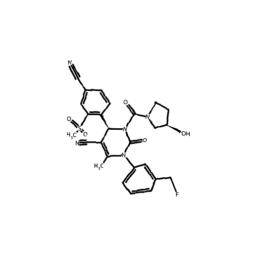 CC1=C(C#N)[C@@H](c2ccc(C#N)cc2S(C)(=O)=O)N(C(=O)N2CC[C@@H](O)C2)C(=O)N1c1cccc(CF)c1